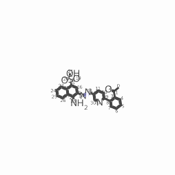 CC(=O)c1ccccc1-c1ccc(/N=N/c2cc(S(=O)(=O)O)c3ccccc3c2N)cn1